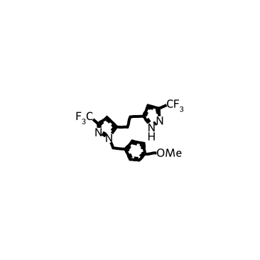 COc1ccc(Cn2nc(C(F)(F)F)cc2CCc2cc(C(F)(F)F)n[nH]2)cc1